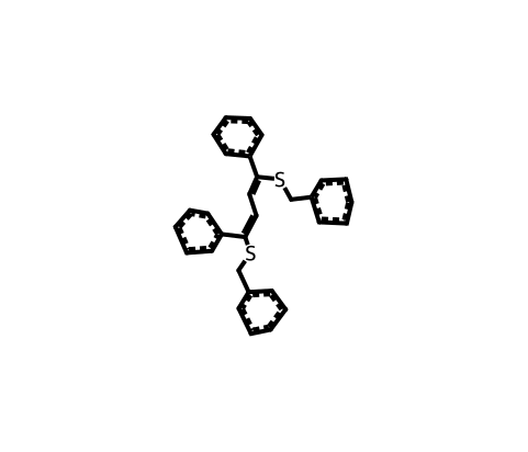 C(C=C(SCc1ccccc1)c1ccccc1)=C(SCc1ccccc1)c1ccccc1